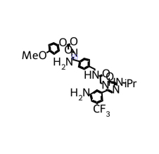 COc1ccc(OC(=O)O/N=C(\N)c2ccc(CNC(=O)Cn3c(-c4cc(N)cc(C(F)(F)F)c4)cnc(NC(C)C)c3=O)cc2)cc1